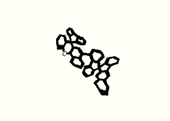 c1ccc2c(c1)Oc1c(cc(-c3cccc4c3-c3ccccc3C43c4ccccc4-c4cc5ccccc5cc43)c3ccccc13)C21c2ccccc2-c2ccccc21